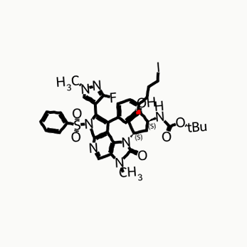 Cn1cc(-c2c(-c3ccc(CCCI)cc3)c3c(ncc4c3n([C@@H]3C[C@@H](O)[C@@H](NC(=O)OC(C)(C)C)C3)c(=O)n4C)n2S(=O)(=O)c2ccccc2)c(F)n1